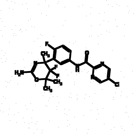 CC1(C)OC(N)=NC(C)(c2cc(NC(=O)c3ncc(Cl)cn3)ccc2F)C1(F)F